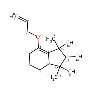 C=CCOC1=C2C(CCC1)C(C)(C)C(C)C2(C)C